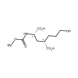 CC(C)(C)OC(=O)N[C@@H](C[C@H](CCCO)C(=O)O)C(=O)O